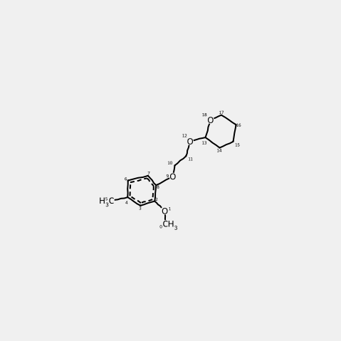 COc1cc(C)ccc1OCCOC1CCCCO1